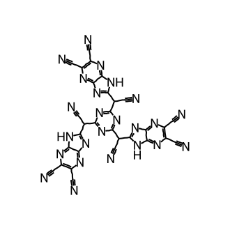 N#Cc1nc2nc(C(C#N)c3nc(C(C#N)c4nc5nc(C#N)c(C#N)nc5[nH]4)nc(C(C#N)c4nc5nc(C#N)c(C#N)nc5[nH]4)n3)[nH]c2nc1C#N